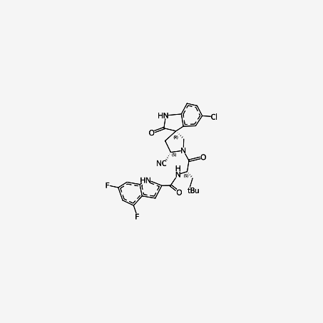 CC(C)(C)C[C@H](NC(=O)c1cc2c(F)cc(F)cc2[nH]1)C(=O)N1C[C@]2(C[C@H]1C#N)C(=O)Nc1ccc(Cl)cc12